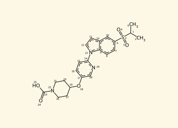 CC(C)S(=O)(=O)c1ccc2c(ccn2-c2ccc(OC3CCN(C(=O)O)CC3)cn2)c1